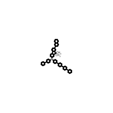 CC1(C)c2cc(-c3ccc4ccccc4c3)ccc2-c2ccc(N(c3ccc(-c4ccccc4)cc3)c3ccc(-c4ccc(-c5ccc(-c6ccccc6)cc5)cc4)cc3)cc21